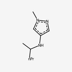 CCCC(C)Nc1cnn(C)c1